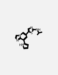 CC(C)Nc1ncc(-c2cc(-c3ccc[nH]3)c3nccn3c2)s1